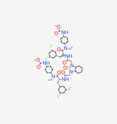 CCN(C(=O)C(Cc1cc(F)cc(F)c1)NC(=O)CN1c2ccccc2N(CC(=O)N[C@@H](Cc2cc(F)cc(F)c2)C(=O)N(CC)c2ccc(NC(=O)OC)cc2)[S+]1[O-])c1ccc(NC(=O)OC)cc1